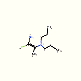 CCCN(CCC)/C(C)=C(\N)F